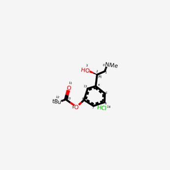 CNC[C@H](O)c1cccc(OC(=O)C(C)(C)C)c1.Cl